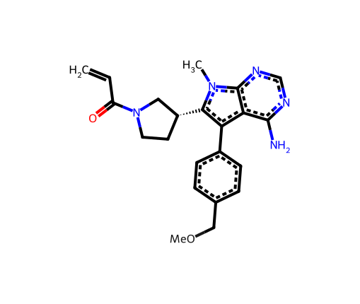 C=CC(=O)N1CC[C@@H](c2c(-c3ccc(COC)cc3)c3c(N)ncnc3n2C)C1